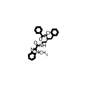 CN(C(=O)c1ccccc1)[C@H](CCNC(=O)c1nc2ccccc2n1C)Cc1ccccc1